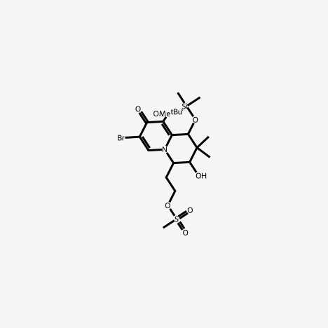 COc1c2n(cc(Br)c1=O)C(CCOS(C)(=O)=O)C(O)C(C)(C)C2O[Si](C)(C)C(C)(C)C